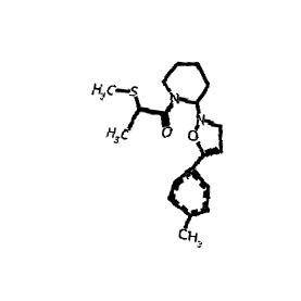 CSC(C)C(=O)N1CCCCC1N1CC=C(c2ccc(C)cc2)O1